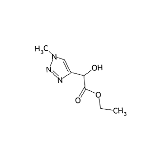 CCOC(=O)C(O)c1cn(C)nn1